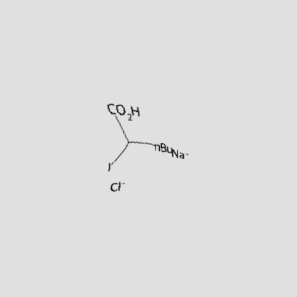 CCCCC(I)C(=O)O.[Cl-].[Na+]